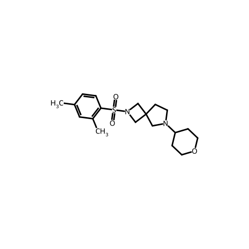 Cc1ccc(S(=O)(=O)N2CC3(CCN(C4CCOCC4)C3)C2)c(C)c1